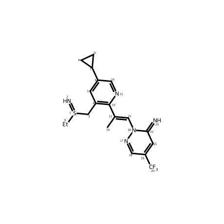 CCS(=N)Cc1cc(C2CC2)cnc1/C(C)=C/n1ncc(C(F)(F)F)cc1=N